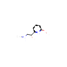 CC(C)(C)NC[C@H](O)c1cccc(OC(F)(F)F)n1